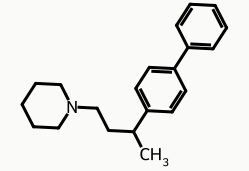 CC(CCN1CCCCC1)c1ccc(-c2ccccc2)cc1